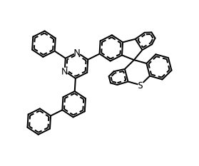 c1ccc(-c2cccc(-c3cc(-c4ccc5c(c4)C4(c6ccccc6Sc6ccccc64)c4ccccc4-5)nc(-c4ccccc4)n3)c2)cc1